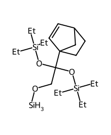 CC[Si](CC)(CC)OC(CO[SiH3])(O[Si](CC)(CC)CC)C12C=CC(CC1)C2